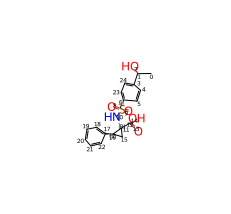 CC(O)c1ccc(S(=O)(=O)N[C@]2(C(=O)O)C[C@H]2c2ccccc2)cc1